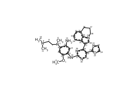 COc1cc(N(C)CCN(C)C)c(N)cc1Nc1ncc(-c2ncco2)c(-c2cn3c4c(cccc24)CCC3)n1